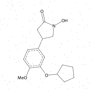 COc1ccc(C2CC(=O)N(O)C2)cc1OC1CCCC1